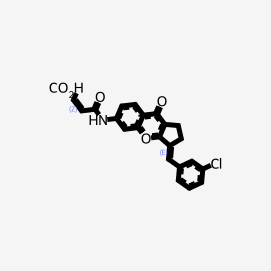 O=C(O)/C=C\C(=O)Nc1ccc2c(=O)c3c(oc2c1)/C(=C/c1cccc(Cl)c1)CC3